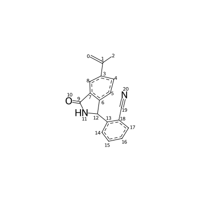 C=C(C)c1ccc2c(c1)C(=O)NC2c1ccccc1C#N